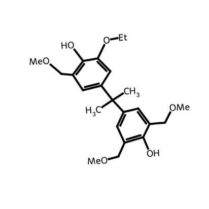 CCOc1cc(C(C)(C)c2cc(COC)c(O)c(COC)c2)cc(COC)c1O